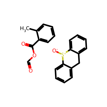 Cc1ccccc1C(=O)OC=O.[O-][S+]1c2ccccc2Cc2ccccc21